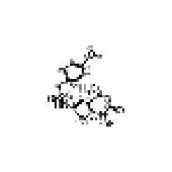 CCCN1C(=O)OC(C)c2cc(NS(=O)(=O)Cc3ccc(C4CC4)cc3)ccc21